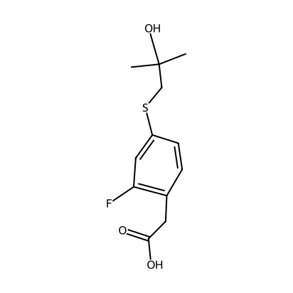 CC(C)(O)CSc1ccc(CC(=O)O)c(F)c1